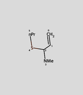 C=CC(NC)SCCC